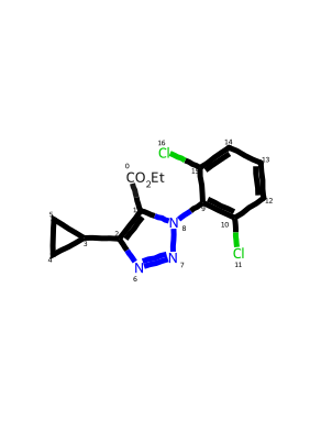 CCOC(=O)c1c(C2CC2)nnn1-c1c(Cl)cccc1Cl